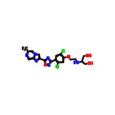 OCC(CO)NCCOc1cc(Cl)c(-c2noc(-c3cn4cc(C(F)(F)F)ncc4n3)n2)cc1Cl